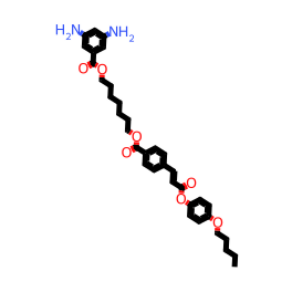 CCCCCOc1ccc(OC(=O)/C=C/c2ccc(C(=O)OCCCCCCCOC(=O)c3cc(N)cc(N)c3)cc2)cc1